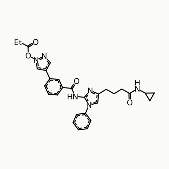 CCC(=O)On1cc(-c2cccc(C(=O)Nc3nc(CCCC(=O)NC4CC4)cn3-c3ccccc3)c2)cn1